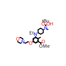 CCN(c1cc(OCCN2CCOCC2)cc(C(=O)OC)c1C)[C@H]1CC[C@H](N(C)C(O)OC(C)(C)C)CC1